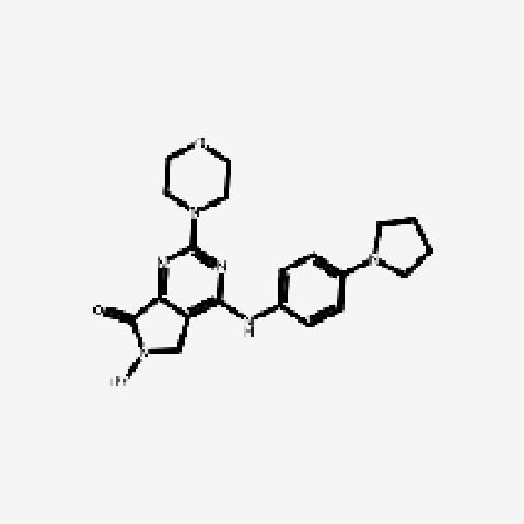 CC(C)N1Cc2c(Nc3ccc(N4CCCC4)cc3)nc(N3CCOCC3)nc2C1=O